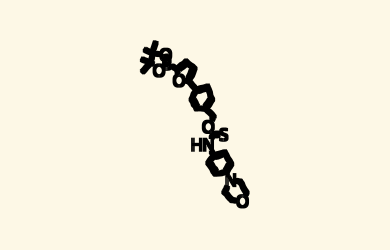 CC1(C)OB(c2ccc(-c3ccc(COC(=S)Nc4ccc(N5CCOCC5)cc4)cc3)o2)OC1(C)C